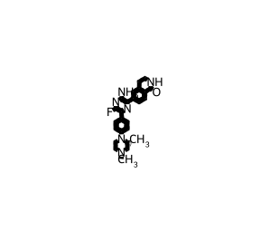 C[C@@H]1CN(C)CCN1c1ccc(-c2nc(-c3ccc4c(c3)CCNC4=O)c(N)nc2F)cc1